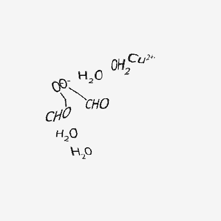 O.O.O.O.O=C[O-].O=C[O-].[Cu+2]